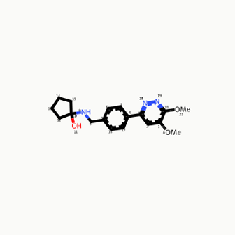 COc1cc(-c2ccc(CNC3(O)CCCC3)cc2)nnc1OC